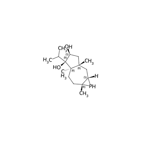 CC(C)[C@]1(O)[C@@H](O)C[C@]2(C)C[C@@H]3P[C@]3(C)CC[C@]21C